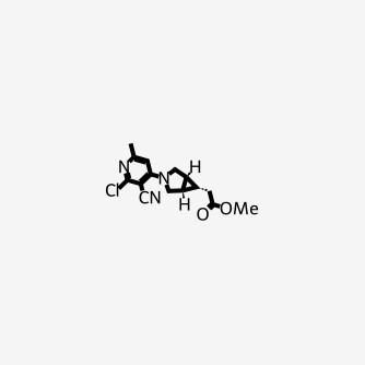 COC(=O)C[C@@H]1[C@H]2CN(c3cc(C)nc(Cl)c3C#N)C[C@@H]12